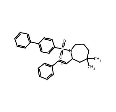 CC1(C)CCCN(S(=O)(=O)c2ccc(-c3ccccc3)cc2)C(/C=C/c2ccccc2)C1